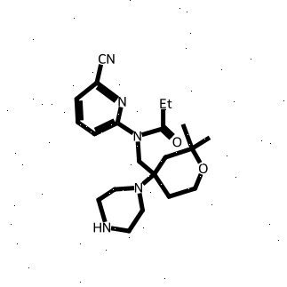 CCC(=O)N(CC1(N2CCNCC2)CCOC(C)(C)C1)c1cccc(C#N)n1